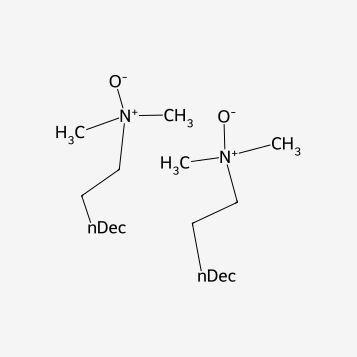 CCCCCCCCCCCC[N+](C)(C)[O-].CCCCCCCCCCCC[N+](C)(C)[O-]